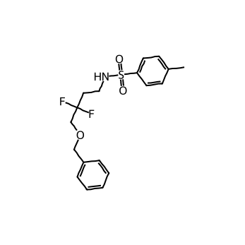 Cc1ccc(S(=O)(=O)NCCC(F)(F)COCc2ccccc2)cc1